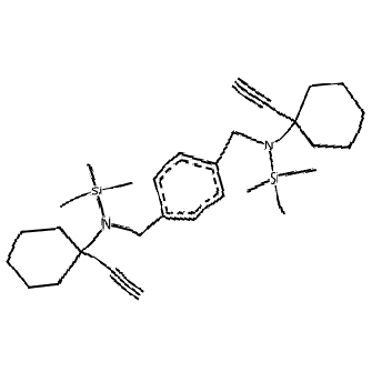 C#CC1(N(Cc2ccc(CN(C3(C#C)CCCCC3)[Si](C)(C)C)cc2)[Si](C)(C)C)CCCCC1